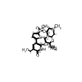 CCc1cc(C2=CC=C(S(=O)(=O)O)[SH]2C(CC(N)=O)N2CCN(C)CC2)c(C)[nH]c1=O.Cl.Cl